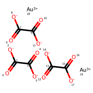 O=C([O-])C(=O)[O-].O=C([O-])C(=O)[O-].O=C([O-])C(=O)[O-].[Au+3].[Au+3]